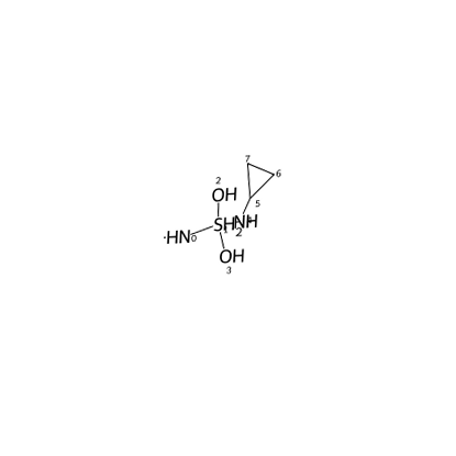 [NH][SH2](O)(O)NC1CC1